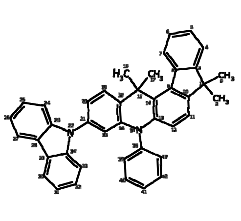 CC1(C)c2ccccc2-c2c1ccc1c2C(C)(C)c2ccc(-n3c4ccccc4c4ccccc43)cc2N1c1ccccc1